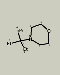 CCCC(CC)(CC)N1CCOCC1